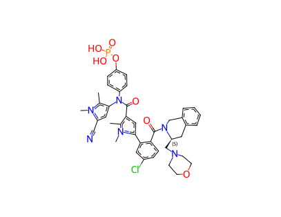 Cc1c(N(C(=O)c2cc(-c3cc(Cl)ccc3C(=O)N3Cc4ccccc4C[C@H]3CN3CCOCC3)n(C)c2C)c2ccc(OP(=O)(O)O)cc2)cc(C#N)n1C